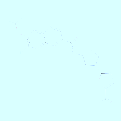 O=C(NC1CCN(c2ncc(C(=O)O)o2)C1)c1cnc2cc(OC(F)F)c(F)cc2c1